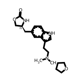 C1CCOC1.CN(C)CCc1c[nH]c2ccc(C[C@H]3COC(=O)N3)cc12